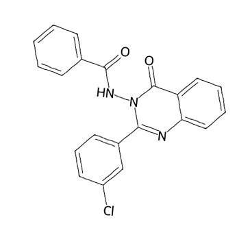 O=C(Nn1c(-c2cccc(Cl)c2)nc2ccccc2c1=O)c1ccccc1